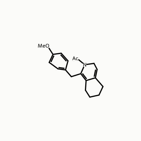 COc1ccc(CC2=C3CCCCC3=CCN2C(C)=O)cc1